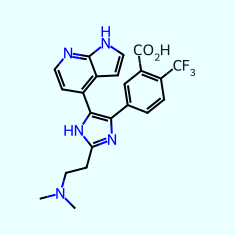 CN(C)CCc1nc(-c2ccc(C(F)(F)F)c(C(=O)O)c2)c(-c2ccnc3[nH]ccc23)[nH]1